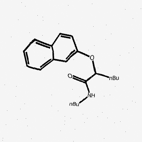 CCCCNC(=O)C(CCCC)Oc1ccc2ccccc2c1